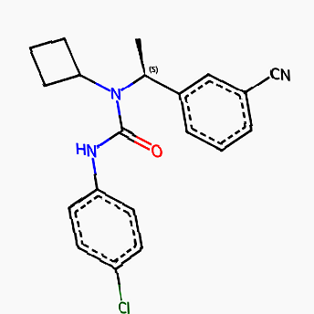 C[C@@H](c1cccc(C#N)c1)N(C(=O)Nc1ccc(Cl)cc1)C1CCC1